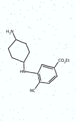 CCOC(=O)c1ccc(C#N)c(NC2CCC(N)CC2)c1